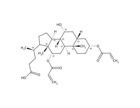 C=CC(=O)O[C@@H]1CC[C@@]2(C)[C@@H](C1)C[C@@H](O)[C@@H]1[C@@H]2C[C@H](OC(=O)C=C)[C@]2(C)C([C@H](C)CCC(=O)O)CC[C@@H]12